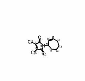 O=C1C(Cl)=C(Cl)C(=O)N1C1C=CCCCC1